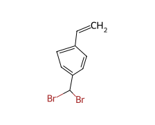 C=Cc1ccc(C(Br)Br)cc1